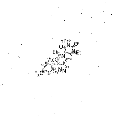 CCCn1c(=O)c2c(cc(-c3cnn(Cc4cccc(C(F)(F)F)c4)c3)n2C(CC)OC(C)=O)n(CC)c1=O